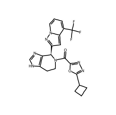 O=C(c1nnc(C2CCC2)o1)N1CCc2[nH]cnc2[C@H]1c1cc2c(C(F)(F)F)cccn2n1